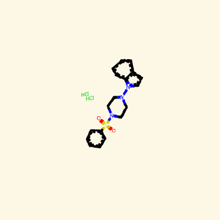 Cl.Cl.O=S(=O)(c1ccccc1)N1CCN(n2ccc3ccccc32)CC1